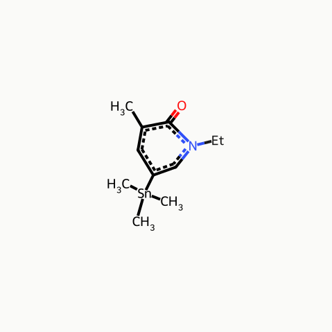 CCn1c[c]([Sn]([CH3])([CH3])[CH3])cc(C)c1=O